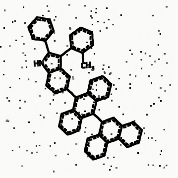 Cc1ccccc1-c1c(-c2ccccc2)[nH]c2ccc(-c3c4ccccc4c(-c4cc5ccccc5c5ccccc45)c4ccccc34)cc12